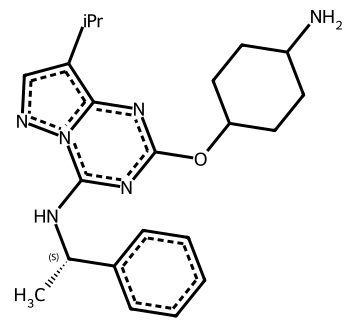 CC(C)c1cnn2c(N[C@@H](C)c3ccccc3)nc(OC3CCC(N)CC3)nc12